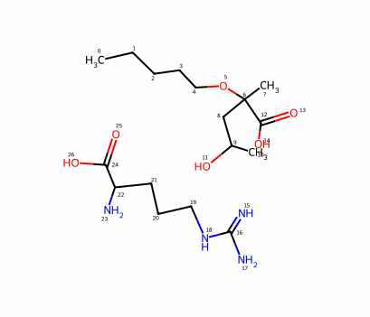 CCCCCOC(C)(CC(C)O)C(=O)O.N=C(N)NCCCC(N)C(=O)O